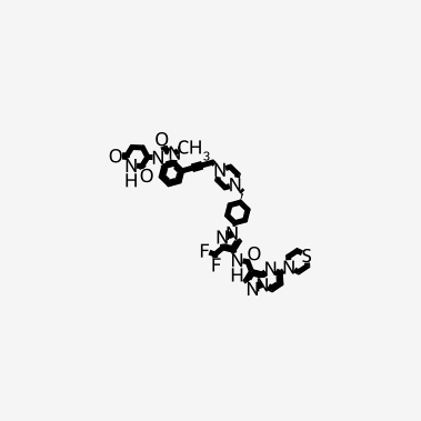 Cn1c(=O)n(C2CCC(=O)NC2=O)c2cccc(C#CCN3CCN(C[C@H]4CC[C@H](n5cc(NC(=O)c6cnn7ccc(N8CCSCC8)nc67)c(C(F)F)n5)CC4)CC3)c21